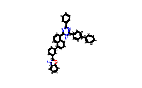 c1ccc(C2=NC(c3cccc4c(-c5cccc(C6Nc7ccccc7O6)c5)cccc34)NC(c3ccc(-c4ccccc4)cc3)=N2)cc1